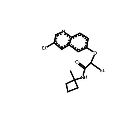 CCc1cnc2ccc(OC(CC)C(=O)NC3(C)CCC3)cc2c1